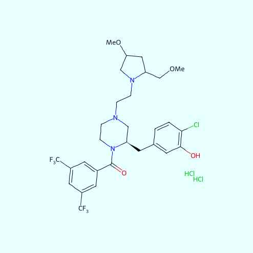 COCC1CC(OC)CN1CCN1CCN(C(=O)c2cc(C(F)(F)F)cc(C(F)(F)F)c2)[C@H](Cc2ccc(Cl)c(O)c2)C1.Cl.Cl